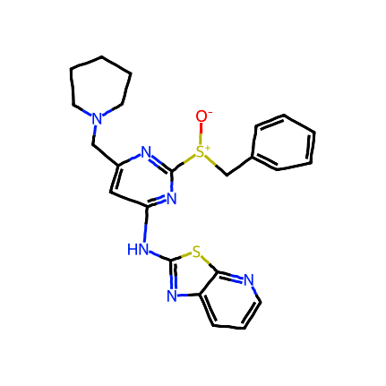 [O-][S+](Cc1ccccc1)c1nc(CN2CCCCC2)cc(Nc2nc3cccnc3s2)n1